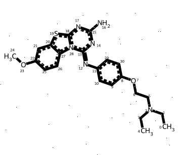 CCN(CC)CCOc1ccc(/N=c2\nc(N)nc3sc4cc(OC)ccc4n23)cc1